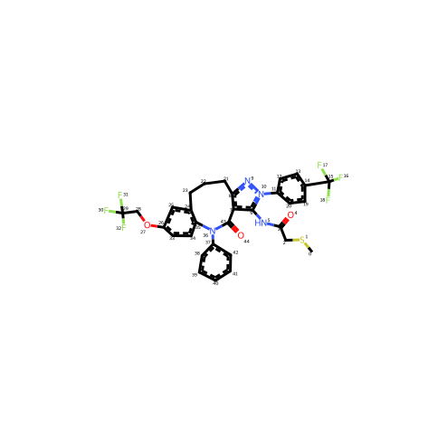 CSCC(=O)Nc1c2c(nn1-c1ccc(C(F)(F)F)cc1)CCCc1cc(OCC(F)(F)F)ccc1N(c1ccccc1)C2=O